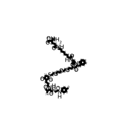 Cc1ccc(NC(=O)CNC(=O)[C@@H](NC(=O)CCC2C(=O)CC(SCCOCCOCCOCCNC(=O)[C@H](Cc3ccccc3)NC(=O)CNC(=O)CCCCCCCNC(=O)CCC(N)C(=O)O)C2=O)C(C)C)cc1